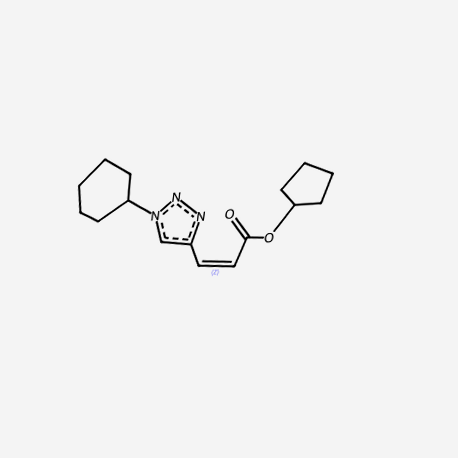 O=C(/C=C\c1cn(C2CCCCC2)nn1)OC1CCCC1